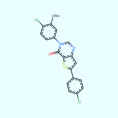 COc1cc(-n2cnc3cc(-c4ccc(Cl)cc4)sc3c2=O)ccc1Cl